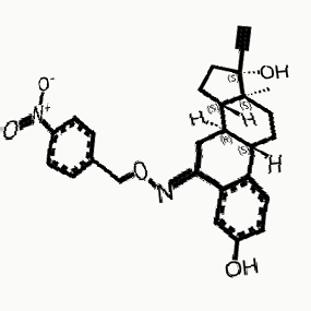 C#C[C@]1(O)CC[C@H]2[C@@H]3CC(=NOCc4ccc([N+](=O)[O-])cc4)c4cc(O)ccc4[C@H]3CC[C@@]21C